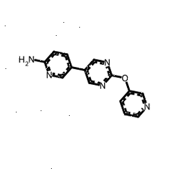 Nc1ccc(-c2cnc(Oc3cccnc3)nc2)cn1